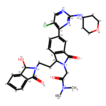 CN(C(=O)CN1C(=O)c2cc(-c3nc(NC4CCOCC4)ncc3Cl)ccc2C1CCN1C(=O)c2ccccc2C1O)C(C)(C)C